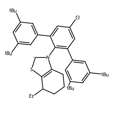 CCC1CCCC2=C1S[C]N2c1c(-c2cc(C(C)(C)C)cc(C(C)(C)C)c2)cc(Cl)cc1-c1cc(C(C)(C)C)cc(C(C)(C)C)c1